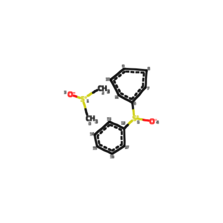 C[S+](C)[O-].[O-][S+](c1ccccc1)c1ccccc1